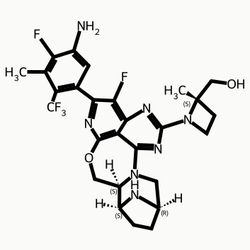 Cc1c(F)c(N)cc(-c2nc3c4c(nc(N5CC[C@@]5(C)CO)nc4c2F)N2C[C@H]4CC[C@H](N4)[C@H]2CO3)c1C(F)(F)F